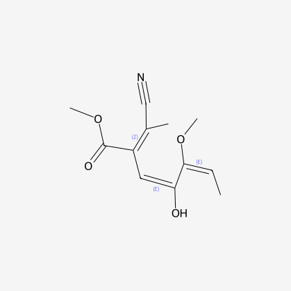 C\C=C(OC)/C(O)=C\C(C(=O)OC)=C(/C)C#N